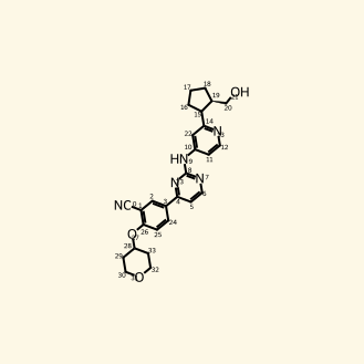 N#Cc1cc(-c2ccnc(Nc3ccnc(C4CCC[C@H]4CO)c3)n2)ccc1OC1CCOCC1